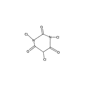 O=C1C(Cl)C(=O)N(Cl)C(=O)N1Cl